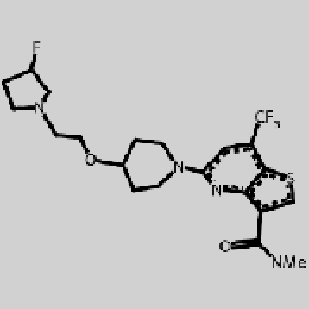 CNC(=O)c1csc2c(C(F)(F)F)cc(N3CCC(OCCN4CCC(F)C4)CC3)nc12